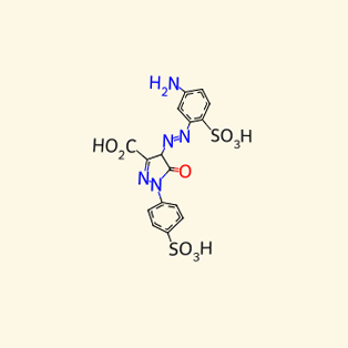 Nc1ccc(S(=O)(=O)O)c(N=NC2C(=O)N(c3ccc(S(=O)(=O)O)cc3)N=C2C(=O)O)c1